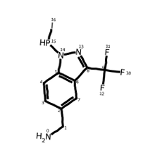 NCc1ccc2c(c1)c(C(F)(F)F)nn2PI